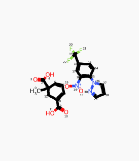 CC1(C(=O)O)C=CC=C(C(=O)O)C1.O=[N+]([O-])c1cc(C(F)(F)F)ccc1-n1cccn1